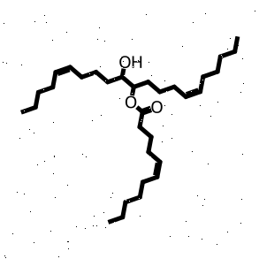 CCCC/C=C\CCCC(O)C(CCC/C=C\CCCCC)OC(=O)CCC/C=C\CCCCC